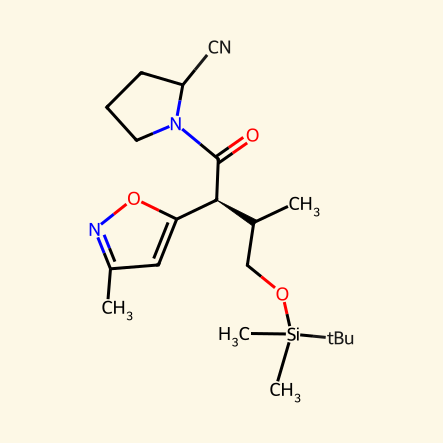 Cc1cc([C@@H](C(=O)N2CCCC2C#N)C(C)CO[Si](C)(C)C(C)(C)C)on1